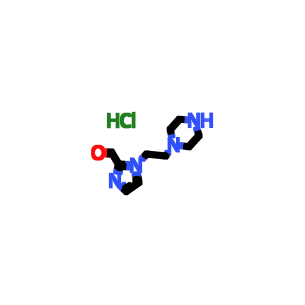 Cl.O=Cc1nccn1CCN1CCNCC1